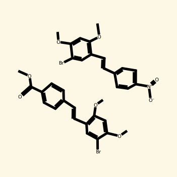 COC(=O)c1ccc(C=Cc2cc(Br)c(OC)cc2OC)cc1.COc1cc(OC)c(C=Cc2ccc([N+](=O)[O-])cc2)cc1Br